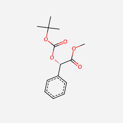 COC(=O)[C@@H](OC(=O)OC(C)(C)C)c1ccccc1